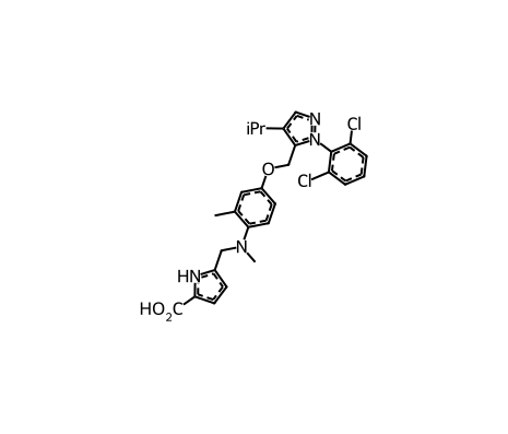 Cc1cc(OCc2c(C(C)C)cnn2-c2c(Cl)cccc2Cl)ccc1N(C)Cc1ccc(C(=O)O)[nH]1